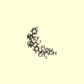 CC(NC[C@H](O)CO)c1ccc2c(c1)CCc1c-2noc1-c1noc(-c2ccccc2)c1C(F)(F)F